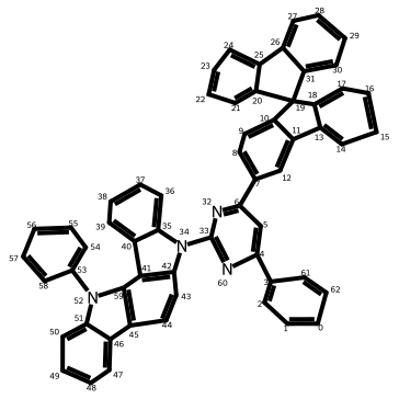 c1ccc(-c2cc(-c3ccc4c(c3)-c3ccccc3C43c4ccccc4-c4ccccc43)nc(-n3c4ccccc4c4c3ccc3c5ccccc5n(-c5ccccc5)c34)n2)cc1